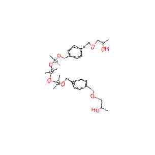 CC(O)COCc1ccc(CO[Si](C)(C)O[Si](C)(C)O[Si](C)(C)OCc2ccc(COCC(C)O)cc2)cc1